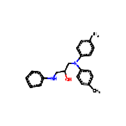 Bc1ccc(N(CC(O)CNc2ccccc2)c2ccc(C)cc2)cc1